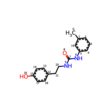 Cc1cccc(NC(=O)NCCc2ccc(O)cc2)c1